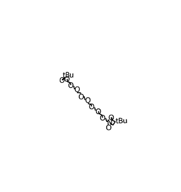 CC(C)(C)C(=O)OCCOCCOCCOCCOCCOCCOCCOCCN1C(=O)CC(C(C)(C)C)C1=O